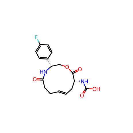 O=C(O)N[C@@H]1C/C=C/CCC(=O)N[C@H](c2ccc(F)cc2)COC1=O